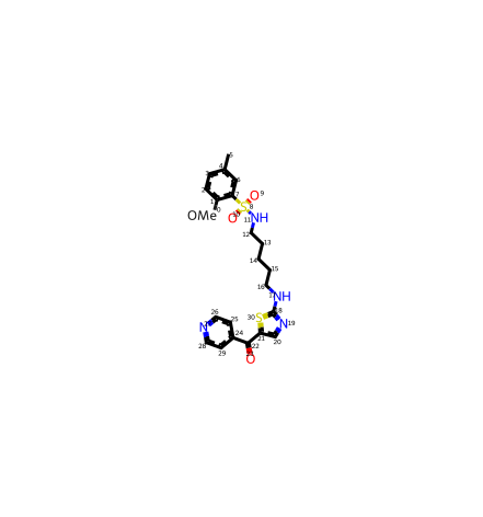 COc1ccc(C)cc1S(=O)(=O)NCCCCCNc1ncc(C(=O)c2ccncc2)s1